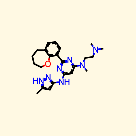 Cc1cc(Nc2cc(N(C)CCN(C)C)nc(-c3cccc4c3OCCCC4)n2)n[nH]1